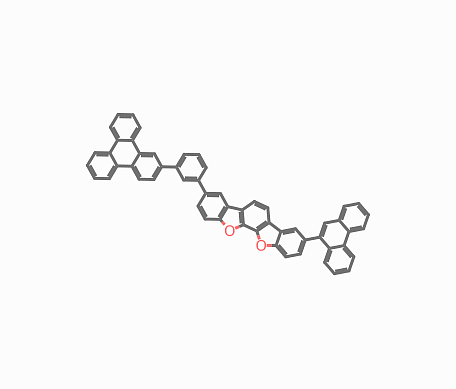 c1cc(-c2ccc3oc4c(ccc5c6cc(-c7cc8ccccc8c8ccccc78)ccc6oc54)c3c2)cc(-c2ccc3c4ccccc4c4ccccc4c3c2)c1